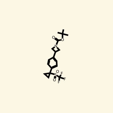 CC(C)(C)OC(=O)N1CC(c2ccc(C3(S(=O)(=O)C(F)(F)F)CC3)cc2)C1